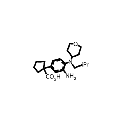 CC(C)CN(c1ccc(C2(C(=O)O)CCCC2)cc1N)C1CCOCC1